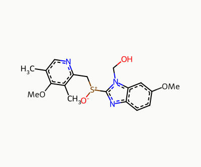 COc1ccc2nc([S+]([O-])Cc3ncc(C)c(OC)c3C)n(CO)c2c1